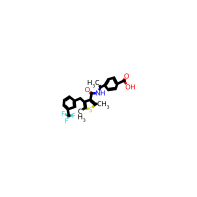 Cc1sc(C)c(C(=O)NC(C)c2ccc(C(=O)O)cc2)c1Cc1cccc(C(F)(F)F)c1